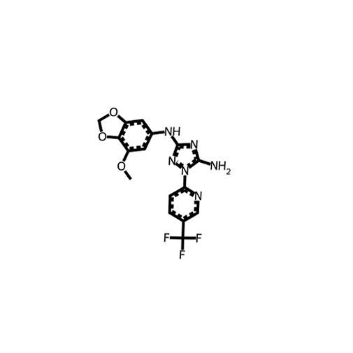 COc1cc(Nc2nc(N)n(-c3ccc(C(F)(F)F)cn3)n2)cc2c1OCO2